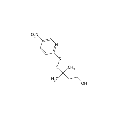 CC(C)(CCO)SSc1ccc([N+](=O)[O-])cn1